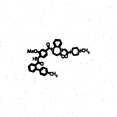 COc1cc(C(=O)N2CCC(=O)N(CC(=O)N3CCN(C)CC3)c3ccccc32)ccc1NC(=O)c1ccccc1-c1ccc(C)cc1